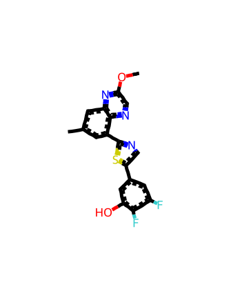 COc1cnc2c(-c3ncc(-c4cc(O)c(F)c(F)c4)s3)cc(C)cc2n1